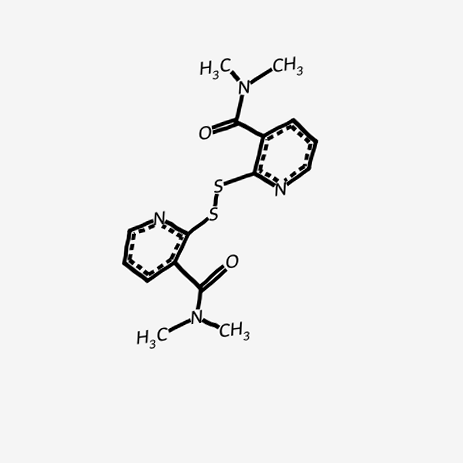 CN(C)C(=O)c1cccnc1SSc1ncccc1C(=O)N(C)C